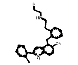 Cc1ccccc1-c1cc2c(Cc3ccccc3CCNCCF)c(O)ccc2[nH]1